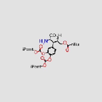 CCCCC(=O)OCC(C)C(c1ccc(OC(=O)OC(C)CCC)c(OC(=O)OC(C)CCC)c1)[C@H](N)C(=O)O